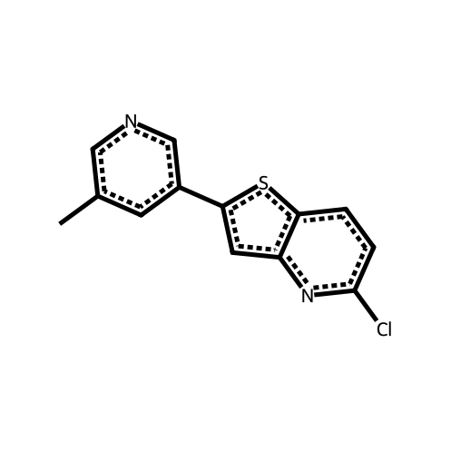 Cc1cncc(-c2cc3nc(Cl)ccc3s2)c1